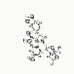 C=CS(=O)(=O)N(CCC)CCN1CC(c2ccc3c(c2)OCO3)[C@H](C(=O)O)[C@H]1c1ccc(OC)cc1